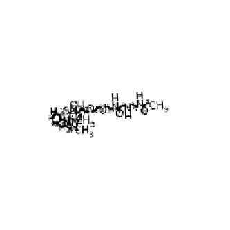 CCC(=O)NCCNCC(=O)NCCOCCOCCC(=O)N(C)C(C)Cn1c(CN(C)NC)cc2ccccc21